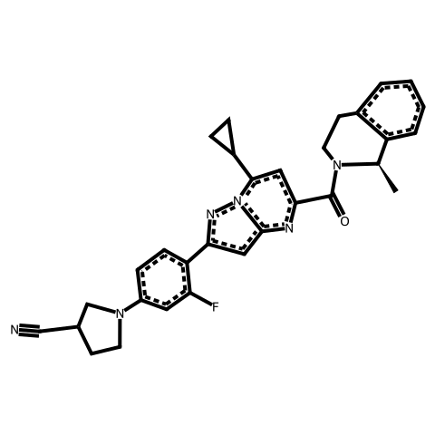 C[C@@H]1c2ccccc2CCN1C(=O)c1cc(C2CC2)n2nc(-c3ccc(N4CCC(C#N)C4)cc3F)cc2n1